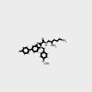 Cl.NCCCC(N)CNC(=O)c1nc2cc(-c3ccc(F)cc3)ccc2n1Cc1ccc(F)cc1